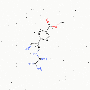 CCOC(=O)c1ccc(/C(C=N)=C/NC(=N)C(=N)N)cc1